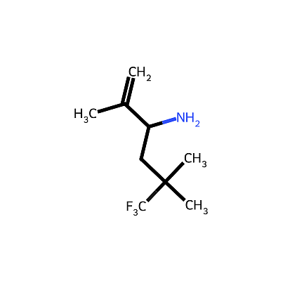 C=C(C)C(N)CC(C)(C)C(F)(F)F